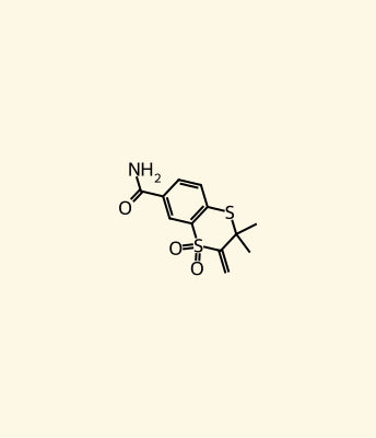 C=C1C(C)(C)Sc2ccc(C(N)=O)cc2S1(=O)=O